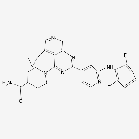 NC(=O)C1CCN(c2nc(-c3ccnc(Nc4c(F)cccc4F)c3)nc3cncc(C4CC4)c23)CC1